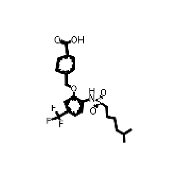 CC(C)CCCCS(=O)(=O)Nc1ccc(C(F)(F)F)cc1OCc1ccc(C(=O)O)cc1